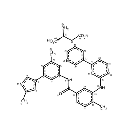 Cc1cn(-c2cc(NC(=O)c3ccc(C)c(Nc4nccc(-c5cccnc5)n4)c3)cc(C(F)(F)F)c2)cn1.N[C@@H](CC(=O)O)C(=O)O